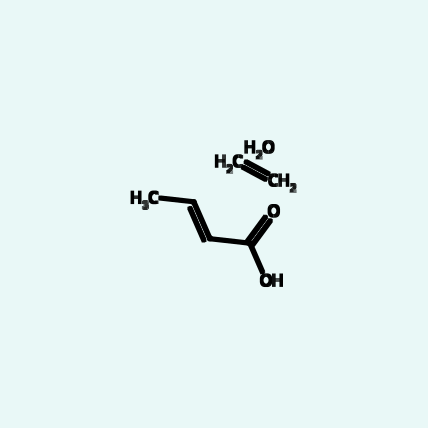 C/C=C/C(=O)O.C=C.O